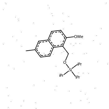 COc1ccc2cc(C)ccc2c1CO[Si](C(C)C)(C(C)C)C(C)C